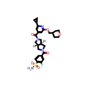 NS(=O)(=O)c1ccc(C(=O)N2C[C@@H]3CN(C(=O)c4cc(OCC5CCOCC5)nc(C5CC5)c4)C[C@H]3C2)cc1F